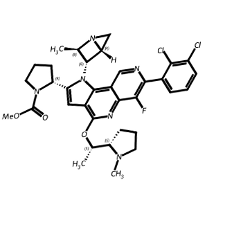 COC(=O)N1CCC[C@@H]1c1cc2c(O[C@@H](C)[C@@H]3CCCN3C)nc3c(F)c(-c4cccc(Cl)c4Cl)ncc3c2n1[C@@H]1[C@@H](C)N2C[C@H]12